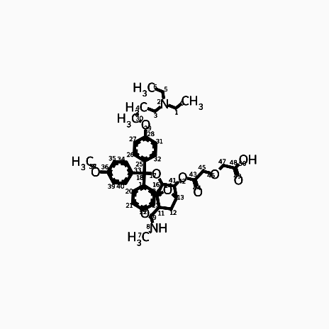 CCN(CC)CC.CNC(=O)C1CC2OC1C(OC(c1ccccc1)(c1ccc(OC)cc1)c1ccc(OC)cc1)C2OC(=O)COCC(=O)O